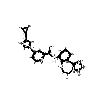 C[C@@H]1COc2c(NC(=O)c3cc(-n4cnc(C5CC5)c4)ccn3)cccc2-c2nnnn21